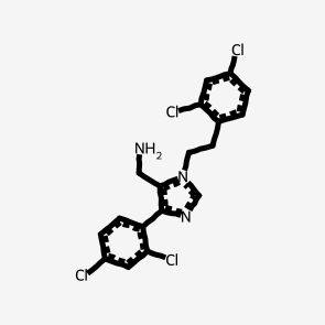 NCc1c(-c2ccc(Cl)cc2Cl)ncn1CCc1ccc(Cl)cc1Cl